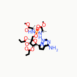 CCC(=O)O[C@H]1[C@H](c2ccc3c(N)ncnn23)O[C@](C)(COP(=O)(N[C@@H](C)C(=O)OC)N[C@@H](C)C(=O)OC)[C@H]1OC(=O)CC